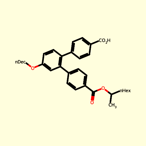 CCCCCCCCCCOc1ccc(-c2ccc(C(=O)O)cc2)c(-c2ccc(C(=O)OC(C)CCCCCC)cc2)c1